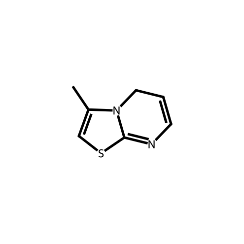 CC1=CSC2=NC=CCN12